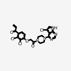 C=CC(=O)c1ccc(OCC(=O)N2CCN(c3ncnc4[nH]cc(Cl)c34)CC2)c(Cl)c1Cl